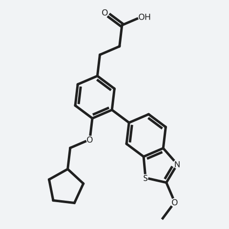 COc1nc2ccc(-c3cc(CCC(=O)O)ccc3OCC3CCCC3)cc2s1